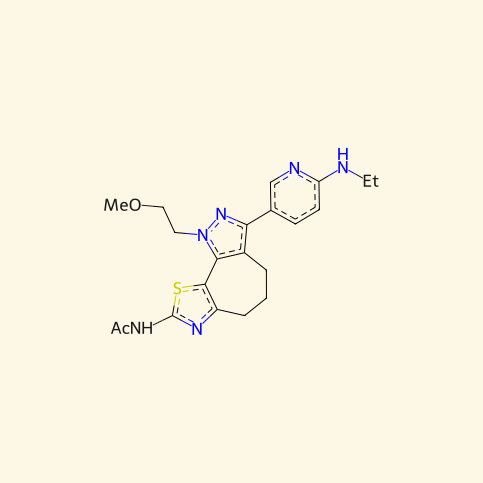 CCNc1ccc(-c2nn(CCOC)c3c2CCCc2nc(NC(C)=O)sc2-3)cn1